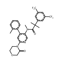 Cc1ccccc1-c1cc(N2CCOCC2=O)ncc1N(C)C(=O)C(C)(C)c1cc(C(F)(F)F)cc(C(F)(F)F)c1